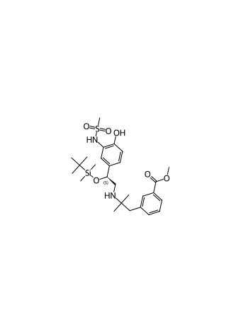 COC(=O)c1cccc(CC(C)(C)NC[C@@H](O[Si](C)(C)C(C)(C)C)c2ccc(O)c(NS(C)(=O)=O)c2)c1